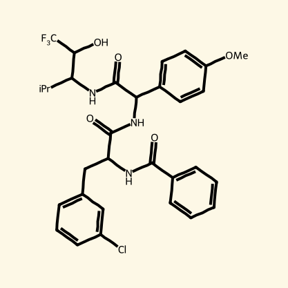 COc1ccc(C(NC(=O)C(Cc2cccc(Cl)c2)NC(=O)c2ccccc2)C(=O)NC(C(C)C)C(O)C(F)(F)F)cc1